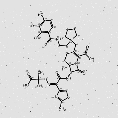 CC(C)(O/N=C(\C(=O)N[C@@H]1C(=O)N2C(C(=O)O)=C(C[N+]3(CCNC(=O)c4ccc(O)c(O)c4Cl)CCCC3)CS[C@H]12)c1csc(N)n1)C(=O)O